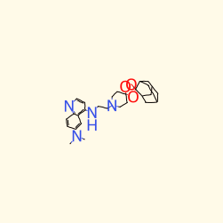 CN(C)c1ccc2nccc(NCCN3CCC4(CC3)OOC3(O4)C4CC5CC(C4)CC3C5)c2c1